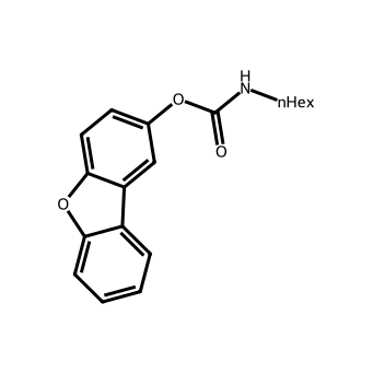 CCCCCCNC(=O)Oc1ccc2oc3ccccc3c2c1